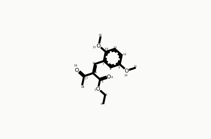 CCOC(=O)/C(=C\c1cc(OC)ccc1OC)C(C)=O